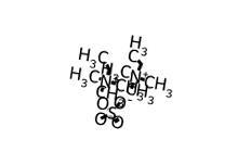 CC[N+](C)(C)C.CC[N+](C)(C)C.O=S(=O)([O-])[O-]